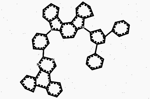 c1ccc(-c2cc(-c3ccccc3)cc(-n3c4ccccc4c4c5c6ccccc6n(-c6cccc(-c7ncc8c9ccccc9c9ccccc9c8n7)c6)c5ccc43)c2)cc1